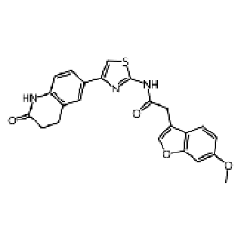 COc1ccc2c(CC(=O)Nc3nc(-c4ccc5c(c4)CCC(=O)N5)cs3)coc2c1